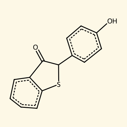 O=C1c2ccccc2SC1c1ccc(O)cc1